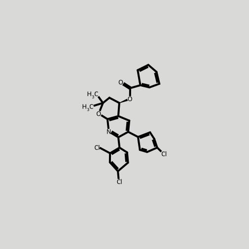 CC1(C)C[C@@H](OC(=O)c2ccccc2)c2cc(-c3ccc(Cl)cc3)c(-c3ccc(Cl)cc3Cl)nc2O1